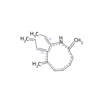 C=C/C=c1/c(=C)ccccc(=C)[nH]/c1=C/C